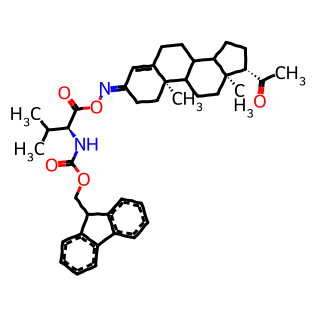 CC(=O)[C@H]1CCC2C3CCC4=C/C(=N/OC(=O)[C@@H](NC(=O)OCC5c6ccccc6-c6ccccc65)C(C)C)CC[C@]4(C)C3CC[C@@]21C